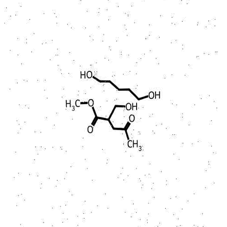 COC(=O)C(CO)CC(C)=O.OCCCCCO